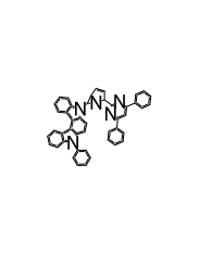 C1=CC2C(n3c4ccccc4c4c5c6ccccc6n(-c6ccccc6)c5ccc43)N2C1c1nc(-c2ccccc2)cc(-c2ccccc2)n1